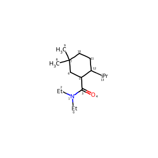 CCN(CC)C(=O)C1CC(C)(C)CCC1C(C)C